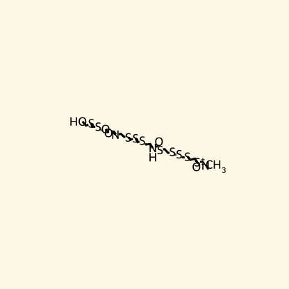 C/N=C/[S+]([O-])CCSCSCSCCSC(=O)NCCSCSCSCC/N=C/OOCSCSCO